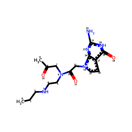 CCCNCCN(CC(C)=O)C(=O)Cn1ccc2c(=O)[nH]c(N)nc21